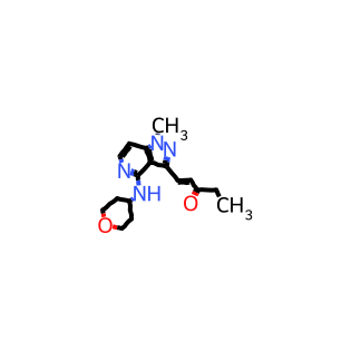 CCC(=O)/C=C/c1nn(C)c2ccnc(NC3CCOCC3)c12